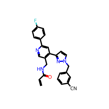 C=CC(=O)NCc1cnc(-c2ccc(F)cc2)cc1-c1ccn(Cc2cccc(C#N)c2)n1